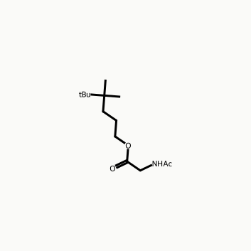 CC(=O)NCC(=O)OCCCC(C)(C)C(C)(C)C